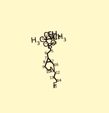 CC1(C)OB(CCC2C3CCN(CCCF)CC23)OC1(C)C